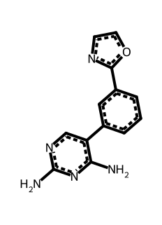 Nc1ncc(-c2cccc(-c3ncco3)c2)c(N)n1